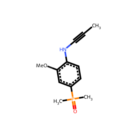 CC#CNc1ccc(P(C)(C)=O)cc1OC